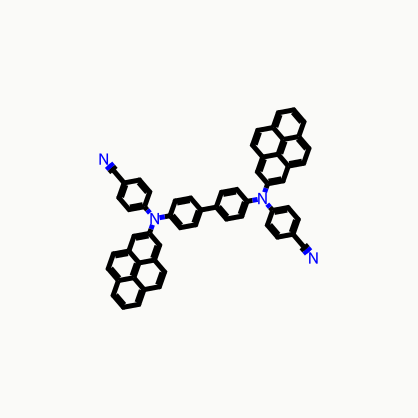 N#Cc1ccc(N(c2ccc(-c3ccc(N(c4ccc(C#N)cc4)c4cc5ccc6cccc7ccc(c4)c5c67)cc3)cc2)c2cc3ccc4cccc5ccc(c2)c3c45)cc1